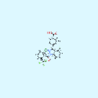 CC1(C)C=C(c2nn(C(=O)c3c(Cl)cccc3C(F)(F)F)c3cccc(F)c23)CC[C@@H]1C(=O)O